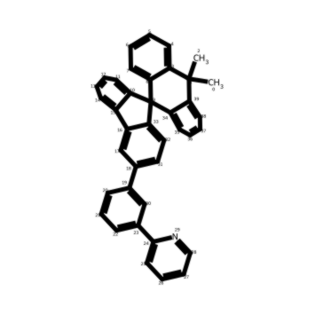 CC1(C)c2ccccc2C2(c3ccccc3-c3cc(-c4cccc(-c5ccccn5)c4)ccc32)c2ccccc21